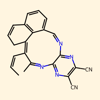 C/C=C\c1c(C)nc2nc(C#N)c(C#N)nc2ncc2cccc3c2c1CC=C3